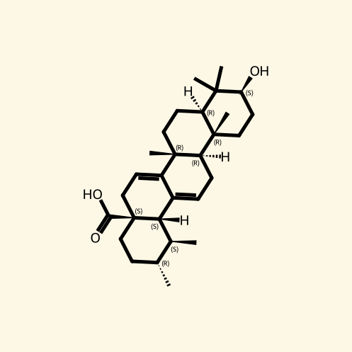 C[C@H]1[C@H](C)CC[C@]2(C(=O)O)CC=C3C(=CC[C@@H]4[C@@]5(C)CC[C@H](O)C(C)(C)[C@@H]5CC[C@@]34C)[C@H]12